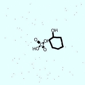 OC1CCCCC1.[O]=[Cr](=[O])([OH])[OH]